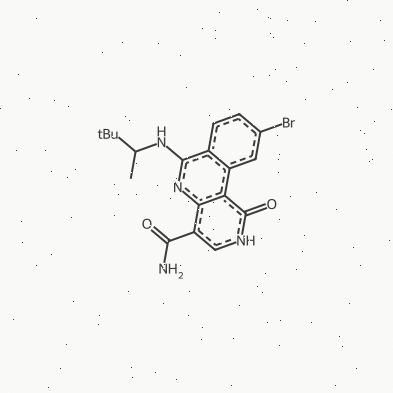 CC(Nc1nc2c(C(N)=O)c[nH]c(=O)c2c2cc(Br)ccc12)C(C)(C)C